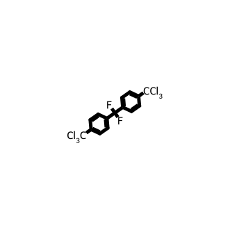 FC(F)(c1ccc(C(Cl)(Cl)Cl)cc1)c1ccc(C(Cl)(Cl)Cl)cc1